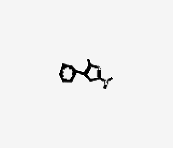 CC1=C(c2ccccc2)CC(N(C)C)=N1